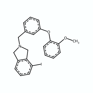 COc1ccccc1Oc1cccc(CN2Cc3cccc(I)c3C2)c1